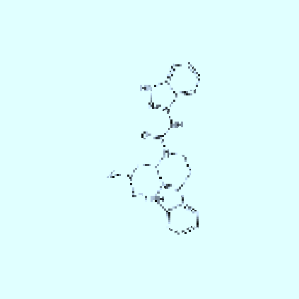 CN(C)CC1c2[nH]c3ccccc3c2CCN1C(=O)Nc1n[nH]c2ccccc12